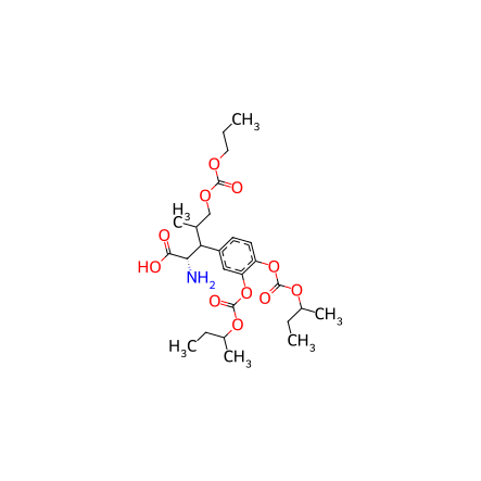 CCCOC(=O)OCC(C)C(c1ccc(OC(=O)OC(C)CC)c(OC(=O)OC(C)CC)c1)[C@H](N)C(=O)O